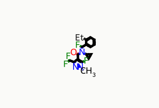 CCc1ccccc1C(F)N(C(=O)c1c(C(F)F)nn(C)c1F)C1CC1